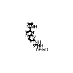 CCCCCNC(=S)Nc1ccc2ncc(-c3ncc[nH]3)nc2n1